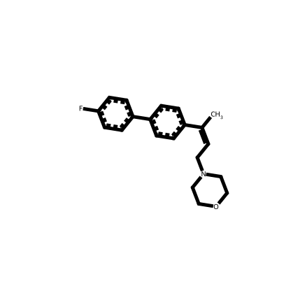 C/C(=C/CN1CCOCC1)c1ccc(-c2ccc(F)cc2)cc1